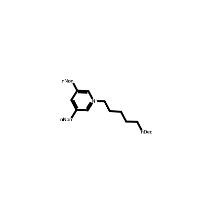 CCCCCCCCCCCCCCC[n+]1cc(CCCCCCCCC)cc(CCCCCCCCC)c1